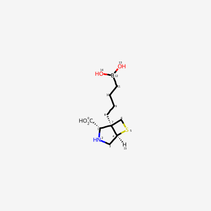 O=C(O)[C@H]1NC[C@@H]2SC[C@@]21CCCCB(O)O